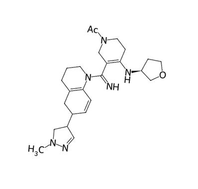 CC(=O)N1CCC(N[C@H]2CCOC2)=C(C(=N)N2CCCC3=C2C=CC(C2C=NN(C)C2)C3)C1